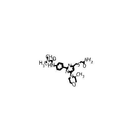 C[C@H]1COCCN1c1cc(CSCC(N)=O)nc(-c2ccc(NC(=O)N(C)C)cc2)n1